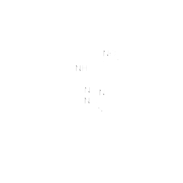 Cn1c(Sc2ccccc2)nnc1-c1ccc([N+](=O)[O-])cc1C1CCCCCN1